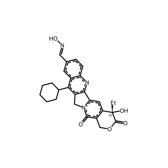 CC[C@@]1(O)C(=O)OCc2c1cc1n(c2=O)Cc2c-1nc1ccc(C=NO)cc1c2C1CCCCC1